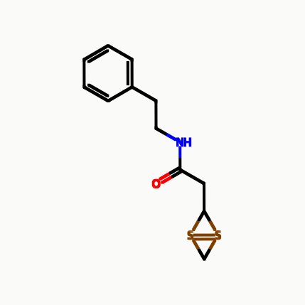 O=C(CC1S2=S1C2)NCCc1ccccc1